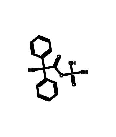 O=C(OP(=O)(O)O)C(O)(c1ccccc1)c1ccccc1